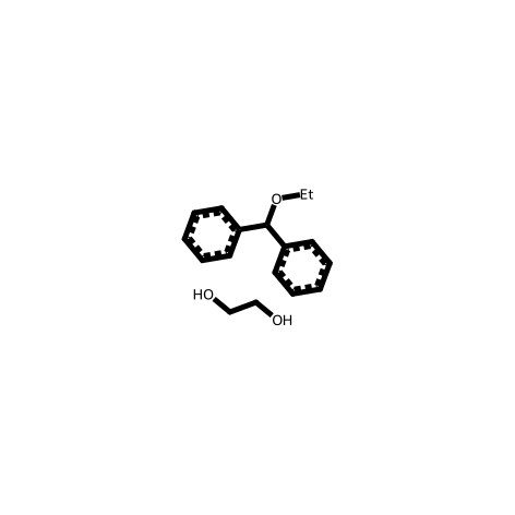 CCOC(c1ccccc1)c1ccccc1.OCCO